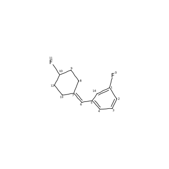 Fc1cccc(C=C2CCC(F)CC2)c1